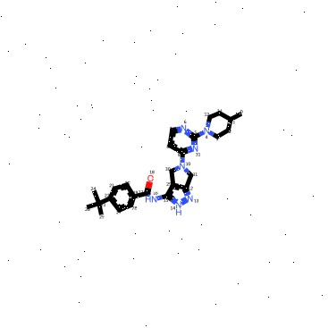 CC1CCN(c2nccc(N3Cc4n[nH]c(NC(=O)c5ccc(C(C)(C)C)cc5)c4C3)n2)CC1